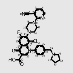 N#Cc1cccnc1N1CCN(c2c(F)cc3c(=O)c(C(=O)O)cn(-c4ccc(CN5CCCC5)cc4)c3c2Cl)CC1